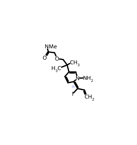 C=C/C(I)=C1/C=CC(C(C)(C)COCC(=O)NC)=CN1N